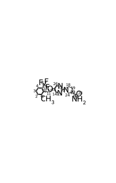 Cc1cccc(C(F)(F)F)c1COc1cnc(N2CC[C@H](C(N)=O)C2)nc1